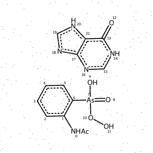 CC(=O)Nc1ccccc1[As](=O)(O)OO.O=c1[nH]cnc2nc[nH]c12